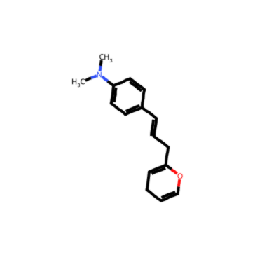 CN(C)c1ccc(C=CCC2=CCC=CO2)cc1